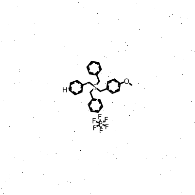 COc1ccc(CS(Cc2ccccc2)(Cc2ccccc2)Cc2ccccc2)cc1.F[P-](F)(F)(F)(F)F.[H+]